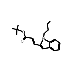 CCCCn1c(C=CC(=O)OC(C)(C)C)cc2ccccc21